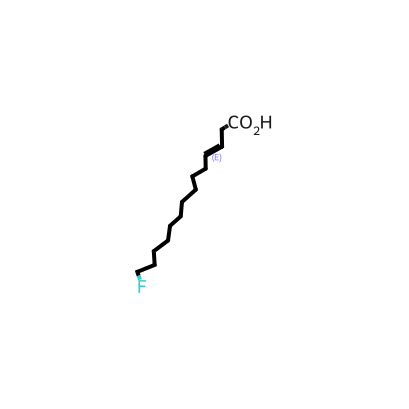 O=C(O)C/C=C/CCCCCCCCCCF